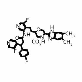 Cc1cc2nc(C3COC(CCc4c(F)cncc4NC(=O)CC(c4ccc(F)cc4)c4ccncc4F)CN3C(=O)O)[nH]c2cc1C